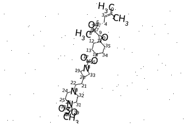 CC(C)=CC[C@H]1O[C@@]1(C)C1OC12CCC(OC(=O)N1CC(CCN3CCN(S(C)(=O)=O)CC3)C1)CC2